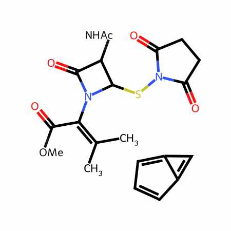 COC(=O)C(=C(C)C)N1C(=O)C(NC(C)=O)C1SN1C(=O)CCC1=O.c1cc2cc-2c1